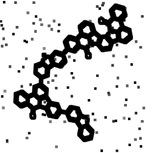 O=C1c2ccccc2-c2cc(C3C=c4c(sc5cc(-c6ccc7c(c6)c(=O)n6c8ccc9c%10cccc%11c%12ccccc%12c(=O)n(c%11%10)c9c8c8cccc7c86)ccc45)=CC3)cc3c2C1c1ccc(-c2ccc4sc5ccccc5c4c2)cc1-3